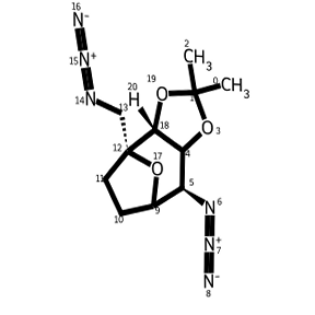 CC1(C)OC2[C@@H](N=[N+]=[N-])C3CC[C@](CN=[N+]=[N-])(O3)[C@@H]2O1